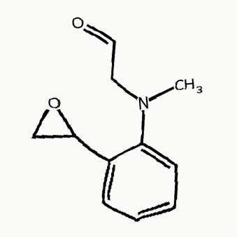 CN(CC=O)c1ccccc1C1CO1